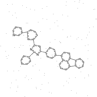 c1ccc(-c2nc(-c3ccc(-c4ccc5c6c(cccc46)-c4ccccc4-5)cc3)cc(-c3cccc(-c4cccnc4)c3)n2)cc1